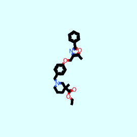 CCOC(=O)C1(C)CCCN(Cc2ccc(OCc3nc(-c4ccccc4)oc3C)cc2)C1